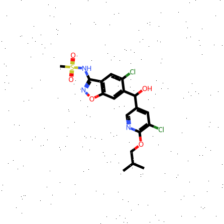 CC(C)COc1ncc(C(O)c2cc3onc(NS(C)(=O)=O)c3cc2Cl)cc1Cl